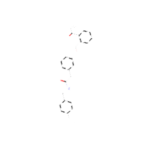 COC(=O)c1ccccc1COc1cccc(CC(=O)NCc2ccc(C(F)(F)F)cc2)c1